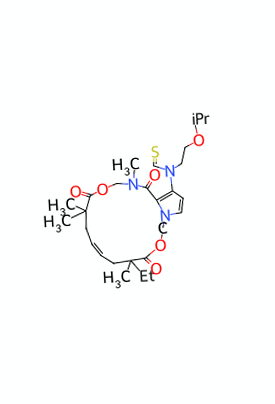 CCC1(C)C/C=C\CC(C)(C)C(=O)OCN(C)C(=O)c2c(N(C=S)CCOC(C)C)ccn2COC1=O